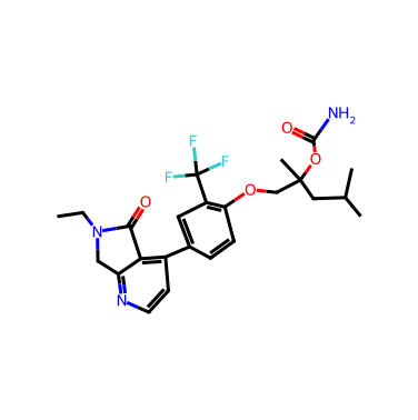 CCN1Cc2nccc(-c3ccc(OCC(C)(CC(C)C)OC(N)=O)c(C(F)(F)F)c3)c2C1=O